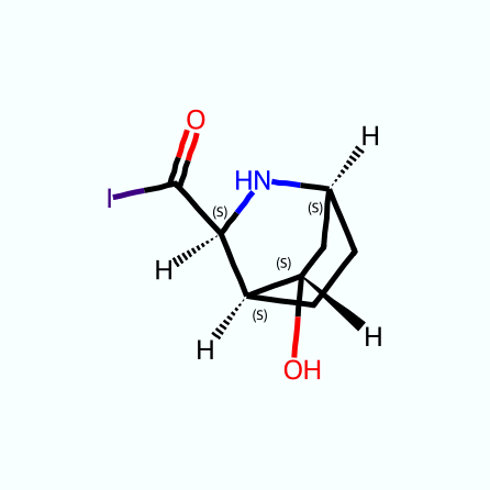 O=C(I)[C@H]1N[C@H]2CC[C@@H]1[C@@H](O)C2